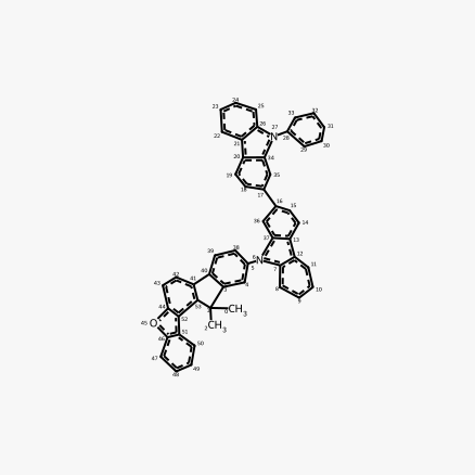 CC1(C)c2cc(-n3c4ccccc4c4ccc(-c5ccc6c7ccccc7n(-c7ccccc7)c6c5)cc43)ccc2-c2ccc3oc4ccccc4c3c21